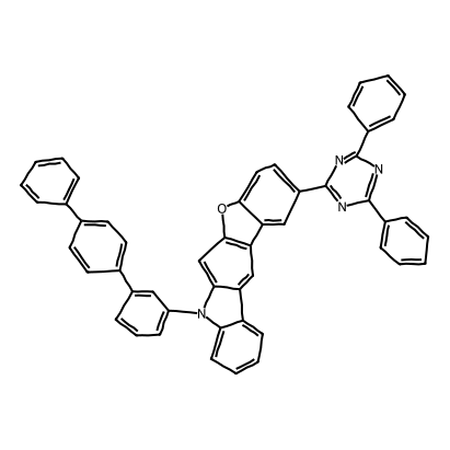 c1ccc(-c2ccc(-c3cccc(-n4c5ccccc5c5cc6c(cc54)oc4ccc(-c5nc(-c7ccccc7)nc(-c7ccccc7)n5)cc46)c3)cc2)cc1